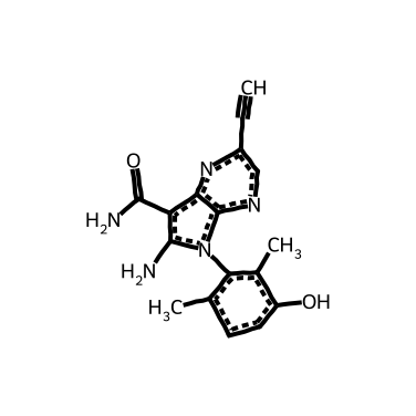 C#Cc1cnc2c(n1)c(C(N)=O)c(N)n2-c1c(C)ccc(O)c1C